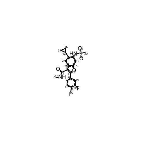 CNC(=O)c1c(-c2ccc(F)c(F)c2)oc2cc(NS(C)(=O)=O)c(C3CC3)cc12